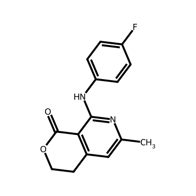 Cc1cc2c(c(Nc3ccc(F)cc3)n1)C(=O)OCC2